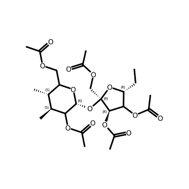 CC[C@H]1O[C@](COC(C)=O)(O[C@H]2OC(COC(C)=O)[C@@H](C)[C@H](C)C2OC(C)=O)[C@H](OC(C)=O)C1OC(C)=O